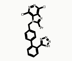 CC(C)c1nc2c(Cl)nnc(Cl)c2n1Cc1ccc(-c2ccccc2-c2nnn[nH]2)cc1